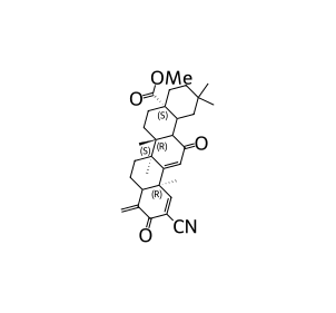 C=C1C(=O)C(C#N)=C[C@]2(C)C3=CC(=O)C4C5CC(C)(C)CC[C@]5(C(=O)OC)CC[C@@]4(C)[C@]3(C)CCC12